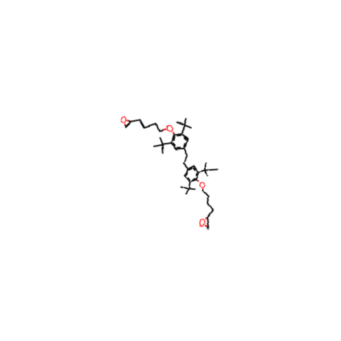 CC(C)(C)c1cc(CCc2cc(C(C)(C)C)c(OCCCCC3CO3)c(C(C)(C)C)c2)cc(C(C)(C)C)c1OCCCCC1CO1